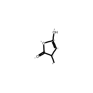 CC1C=C(O)OC1=O